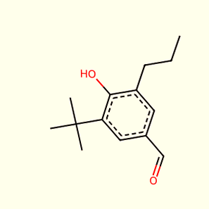 CCCc1cc(C=O)cc(C(C)(C)C)c1O